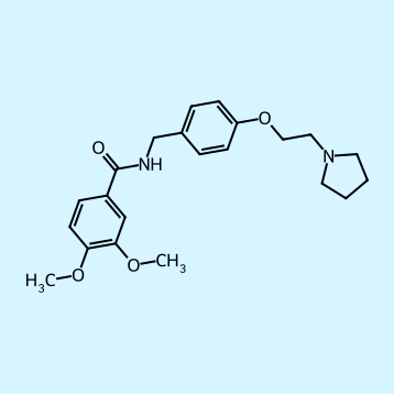 COc1ccc(C(=O)NCc2ccc(OCCN3CCCC3)cc2)cc1OC